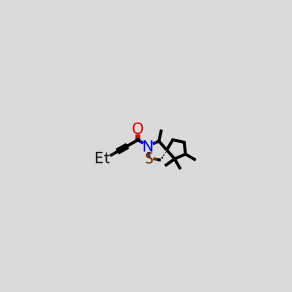 CCC#CC(=O)N1SC[C@@]2(CCC(C)C2(C)C)C1C